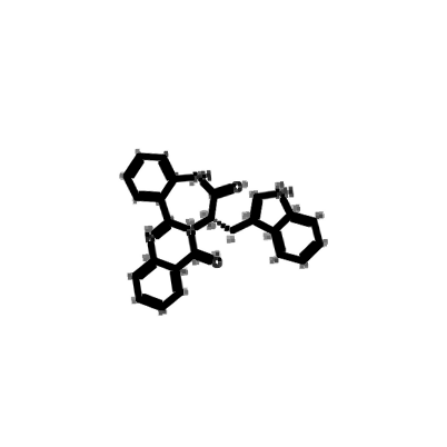 O=C1Nc2ccccc2-c2nc3ccccc3c(=O)n2[C@H]1Cc1c[nH]c2ccccc12